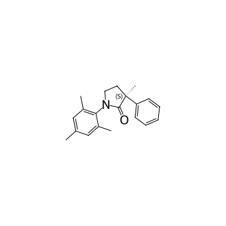 Cc1cc(C)c(N2CC[C@@](C)(c3ccccc3)C2=O)c(C)c1